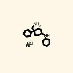 Cl.Cl.NCC1(c2ccccc2)CCC(NC2CCCCC2)CC1